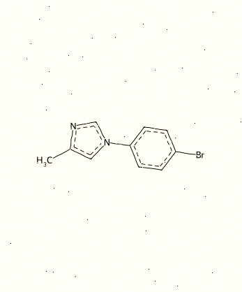 Cc1cn(-c2ccc(Br)cc2)cn1